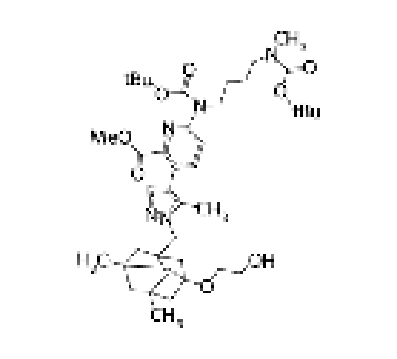 COC(=O)c1nc(N(CCCCN(C)C(=O)OC(C)(C)C)C(=O)OC(C)(C)C)ccc1-c1cnn(CC23CC4(C)CC(C)(C2)CC(OCCO)(C4)C3)c1C